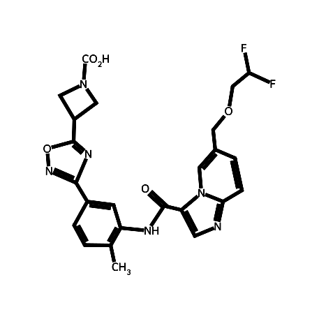 Cc1ccc(-c2noc(C3CN(C(=O)O)C3)n2)cc1NC(=O)c1cnc2ccc(COCC(F)F)cn12